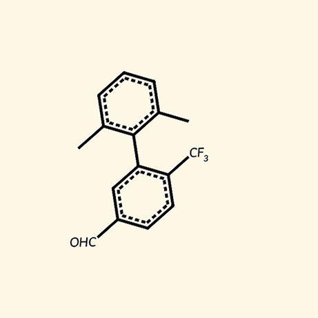 Cc1cccc(C)c1-c1cc(C=O)ccc1C(F)(F)F